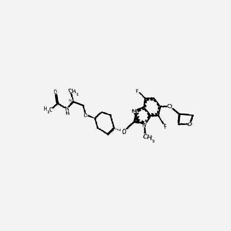 CC(=O)N[C@@H](C)CO[C@H]1CC[C@H](Oc2nc3c(F)cc(OC4COC4)c(F)c3n2C)CC1